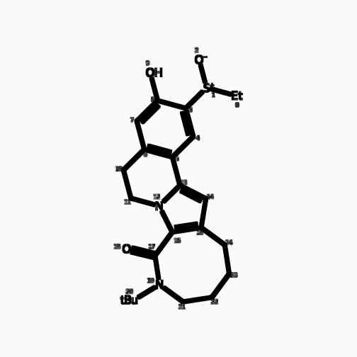 CC[S+]([O-])c1cc2c(cc1O)CCn1c-2cc2c1C(=O)N(C(C)(C)C)CCCC2